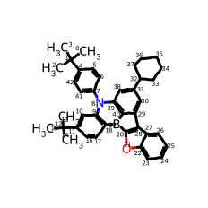 CC(C)(C)c1ccc(N2c3cc(C(C)(C)C)ccc3B3c4oc5ccccc5c4-c4cc(C5CCCCC5)cc2c43)cc1